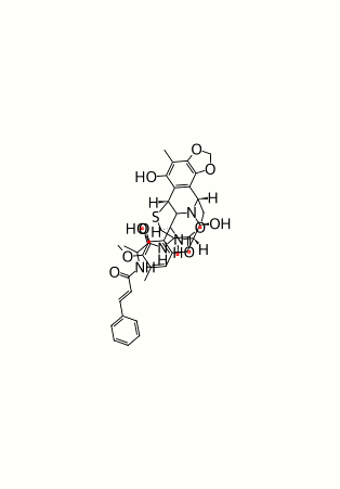 COc1c(C)cc2c(c1O)[C@H]1C3[C@@H]4SC[C@H](NC(=O)C(C)NC(=O)/C=C/c5ccccc5)C(=O)OC[C@@H](c5c6c(c(C)c(O)c54)OCO6)N3[C@@H](O)[C@H](C2)N1C